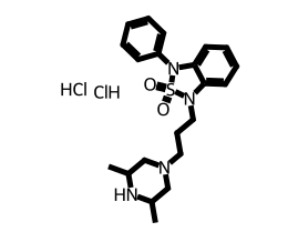 CC1CN(CCCN2c3ccccc3N(c3ccccc3)S2(=O)=O)CC(C)N1.Cl.Cl